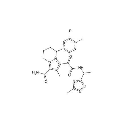 Cc1noc(C(C)NC(=O)C(=O)c2c(C)c(C(N)=O)c3n2C(c2ccc(F)c(F)c2)CCC3)n1